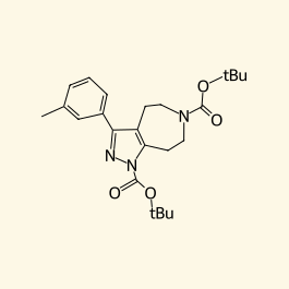 Cc1cccc(-c2nn(C(=O)OC(C)(C)C)c3c2CCN(C(=O)OC(C)(C)C)CC3)c1